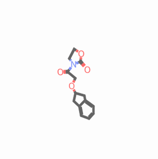 O=C(COC1Cc2ccccc2C1)N1CCOC1=O